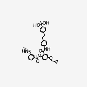 CCNSc1cccc(C(=O)Nc2ccc(OCC3CC3)cc2C(=O)Nc2ccc(CCc3ccc(C(C)(O)O)cc3)cc2)c1